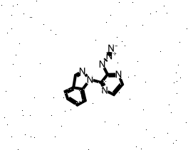 [N-]=[N+]=Nc1nccnc1-n1ncc2ccccc21